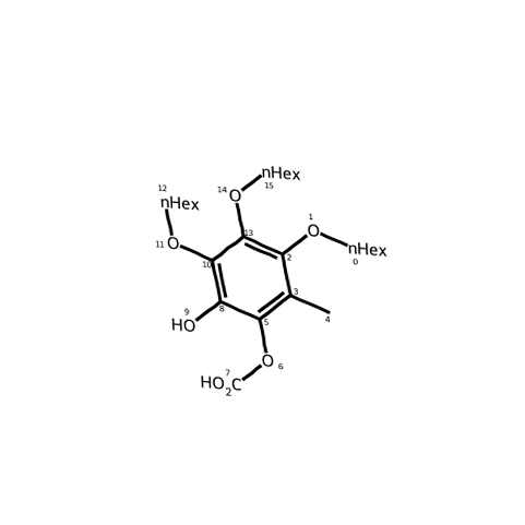 CCCCCCOc1c(C)c(OC(=O)O)c(O)c(OCCCCCC)c1OCCCCCC